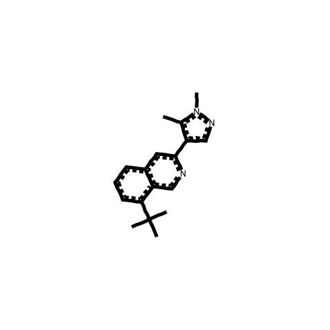 Cc1c(-c2cc3cccc(C(C)(C)C)c3cn2)cnn1C